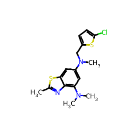 Cc1nc2c(N(C)C)cc(N(C)Cc3ccc(Cl)s3)cc2s1